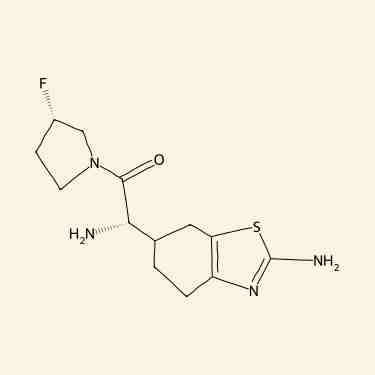 Nc1nc2c(s1)CC([C@H](N)C(=O)N1CC[C@H](F)C1)CC2